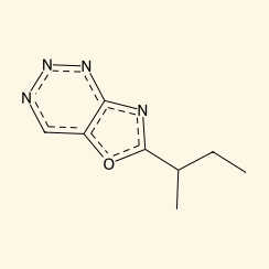 CCC(C)c1nc2nnncc2o1